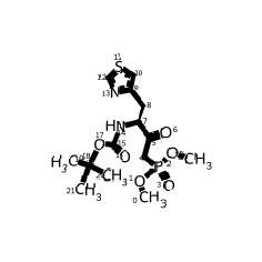 COP(=O)(CC(=O)[C@H](Cc1cscn1)NC(=O)OC(C)(C)C)OC